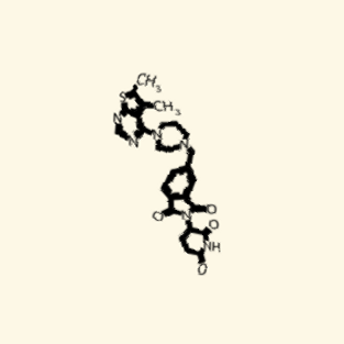 Cc1sc2ncnc(N3CCCN(Cc4ccc5c(c4)C(=O)N(C4CCC(=O)NC4=O)C5=O)CC3)c2c1C